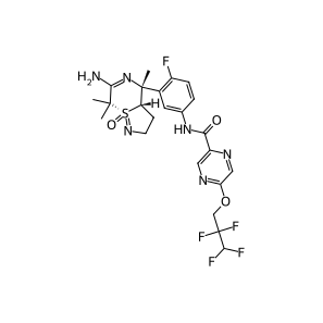 CC1(C)C(N)=N[C@](C)(c2cc(NC(=O)c3cnc(OCC(F)(F)C(F)F)cn3)ccc2F)[C@@H]2CCN=[S@@]21=O